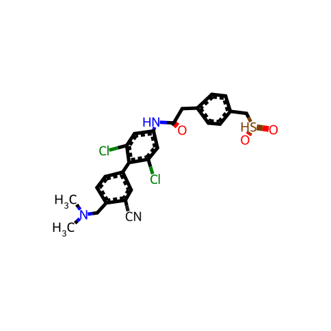 CN(C)Cc1ccc(-c2c(Cl)cc(NC(=O)Cc3ccc(C[SH](=O)=O)cc3)cc2Cl)cc1C#N